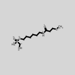 CSCCC(=O)NCCCCCCOP(=O)(S)CO